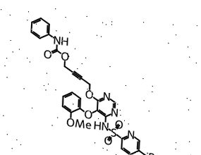 COc1ccccc1Oc1c(NS(=O)(=O)c2ccc(C(C)C)cn2)ncnc1OCC#CCOC(=O)Nc1ccccc1